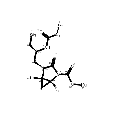 CC(C)(C)OC(=O)N[C@H](CO)C[C@H]1C(=O)N(C(=O)OC(C)(C)C)[C@@H]2C[C@@H]21